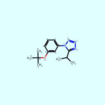 CC(C)c1nnnn1-c1cccc(OC(C)(C)C)c1